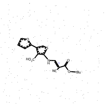 CC(C)(C)OC(=O)/C(C#N)=C/Nc1scc(-c2ccco2)c1C(=O)O